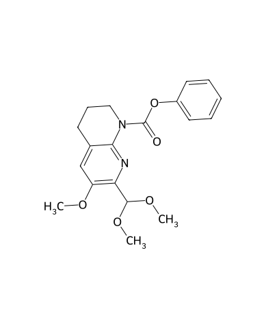 COc1cc2c(nc1C(OC)OC)N(C(=O)Oc1ccccc1)CCC2